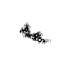 CCN(C[C@H]1CC[C@H](CC(=O)O)CC1)c1cc(C(F)(F)F)c(C)cc1CNC1=NNN(C)N1Cc1cc(C(F)(F)F)cc(C(F)(F)F)c1